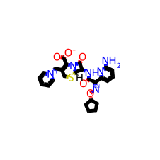 Nc1cccc(/C(=N/OC2CCCC2)C(=O)NC2C(=O)N3C(C(=O)[O-])=C(C[n+]4ccccc4)CS[C@H]23)n1